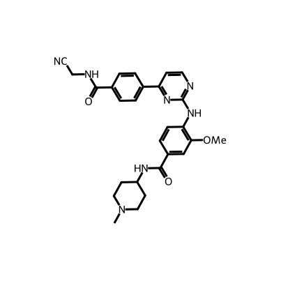 COc1cc(C(=O)NC2CCN(C)CC2)ccc1Nc1nccc(-c2ccc(C(=O)NCC#N)cc2)n1